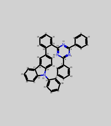 c1ccc(-c2nc(-c3ccccc3)nc(-c3ccccc3-c3ccc4c(c3)c3ccccc3n4-c3ccccc3)n2)cc1